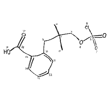 CC(C)(COS(=O)(=O)Cl)Cc1ccccc1C(=O)O